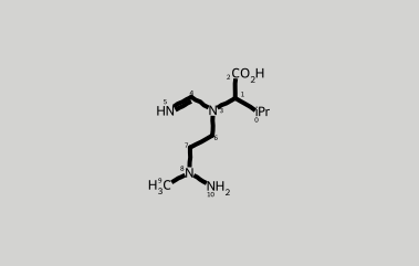 CC(C)C(C(=O)O)N(C=N)CCN(C)N